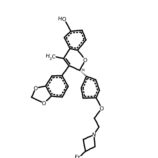 CCC1CN(CCOc2ccc([C@H]3Oc4ccc(O)cc4C(C)=C3c3ccc4c(c3)OCO4)cc2)C1